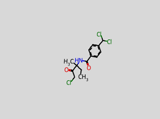 CCC(C)(NC(=O)c1ccc(C(Cl)Cl)cc1)C(=O)CCl